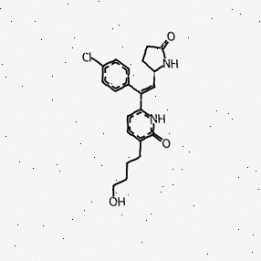 O=C1CC[C@H](/C=C(\c2ccc(Cl)cc2)c2ccc(CCCCO)c(=O)[nH]2)N1